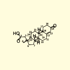 C[C@]1(CC(=O)O)CC[C@H]2[C@@H]3CCC4=CC(=O)CC[C@]4(C)[C@H]3CC[C@@]21C